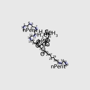 CCCCC/C=C\C/C=C\C/C=C\C/C=C\C/C=C\CCC(=O)O[C@H](COC(=O)CCCCCCC/C=C\C/C=C\CCCCC)COP(=O)(O)OCC[N+](C)(C)C